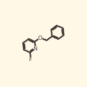 Fc1cccc(OCc2ccccc2)n1